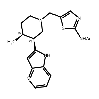 CC(=O)Nc1ncc(CN2CC[C@H](C)[C@H](c3cc4ncccc4[nH]3)C2)s1